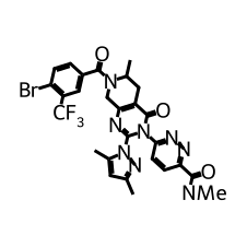 CNC(=O)c1ccc(-n2c(-n3nc(C)cc3C)nc3c(c2=O)CC(C)N(C(=O)c2ccc(Br)c(C(F)(F)F)c2)C3)nn1